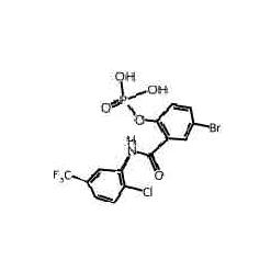 O=C(Nc1cc(C(F)(F)F)ccc1Cl)c1cc(Br)ccc1OP(=O)(O)O